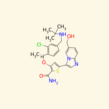 C[C@@H](Oc1cc(-c2cnc3ccc(CO)cn23)sc1C(N)=O)c1ccc(CNC(C)(C)C)cc1Cl